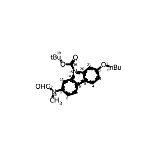 CCCCOc1ccc2c3ccc(N(C)C=O)cc3n(C(=O)OC(C)(C)C)c2c1